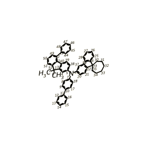 CC1(C)c2cc(N(c3ccc(-c4ccccc4)cc3)c3ccc(C4(c5ccccc5)CCCCCC4)cc3)ccc2-c2c(-c3ccccc3)cccc21